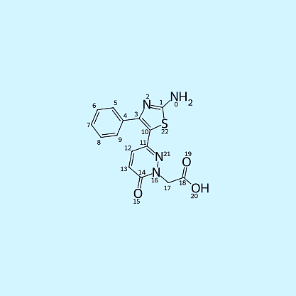 Nc1nc(-c2ccccc2)c(-c2ccc(=O)n(CC(=O)O)n2)s1